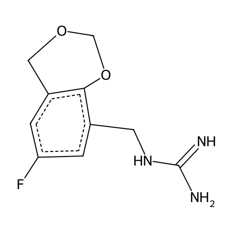 N=C(N)NCc1cc(F)cc2c1OCOC2